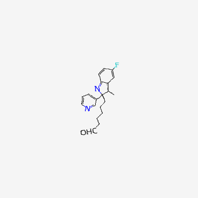 CC1=c2cc(F)ccc2=NC1(CCCCCC=O)c1cccnc1